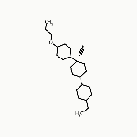 CCCOC1CCC([C@]2(C#N)CC[C@@H](C3CCC(CC)CC3)CC2)CC1